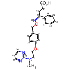 CN(CCOc1ccc(CON=C(CCC(=O)O)c2ccccc2)cc1)c1ncccn1